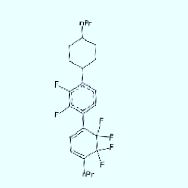 CCCC1=CC=C(c2ccc(C3CCC(CCC)CC3)c(F)c2F)C(F)(F)C1(F)F